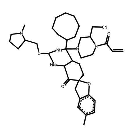 C=CC(=O)N1CCN(C2(C3CCCCCCC3)NC(OCC3CCCN3C)NC3C(=O)[C@@]4(CCC32)Cc2cc(C)ccc2O4)CC1CC#N